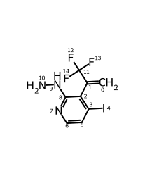 C=C(c1c(I)ccnc1NN)C(F)(F)F